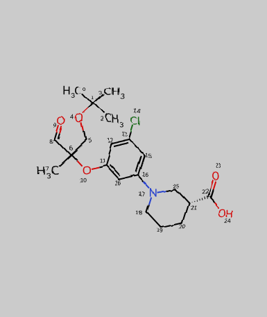 CC(C)(C)OCC(C)(C=O)Oc1cc(Cl)cc(N2CCC[C@@H](C(=O)O)C2)c1